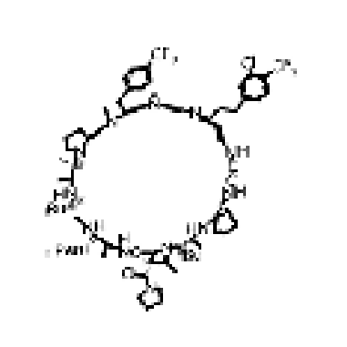 CCCCC[C@@H]1NC[C@H]([C@@H](C)CC)NC(C)[C@H](C)N2CCCC2=CN(C)C(Cc2ccc(C(F)(F)F)cc2)=CN(C)C=CN=C(CCc2ccc(C(F)(F)F)c(Cl)c2)C=CNCCNCC2(CCCC2)NC(C)[C@H]([C@@H](C)CC)N2C(C)[C@H](C(=O)N3CCCC3)C2CNC1C